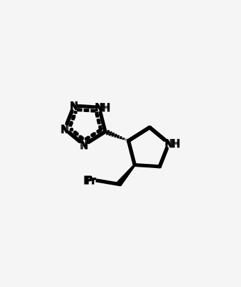 CC(C)C[C@@H]1CNC[C@H]1c1nnn[nH]1